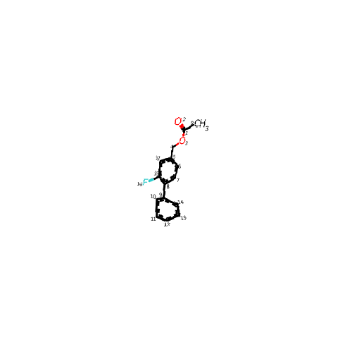 CC(=O)OCc1ccc(-c2ccccc2)c(F)c1